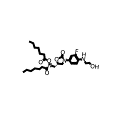 CCCCCCC(=O)ON(C[C@H]1CN(c2ccc(NCCO)c(F)c2)C(=O)O1)C(=O)CCCCCC